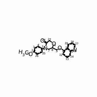 COc1ccc(N2CC(COc3cccc4ncccc34)OCC2=O)cc1